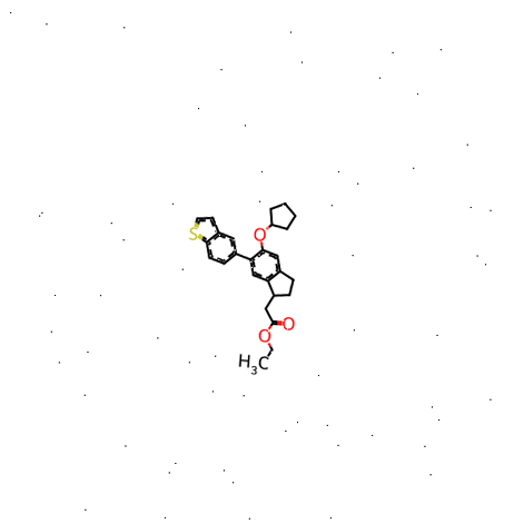 CCOC(=O)CC1CCc2cc(OC3CCCC3)c(-c3ccc4sccc4c3)cc21